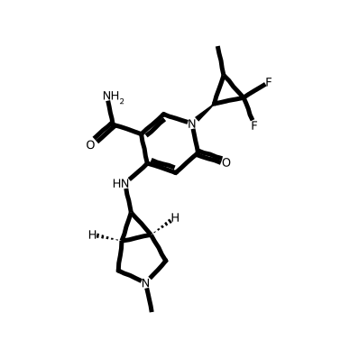 CC1[C@H](n2cc(C(N)=O)c(NC3[C@H]4CN(C)C[C@@H]34)cc2=O)C1(F)F